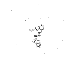 O=C(O)COc1ccccc1/C=N/NC(=O)c1ccc2c(c1)OCO2